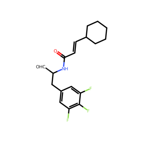 O=CC(Cc1cc(F)c(F)c(F)c1)NC(=O)/C=C/C1CCCCC1